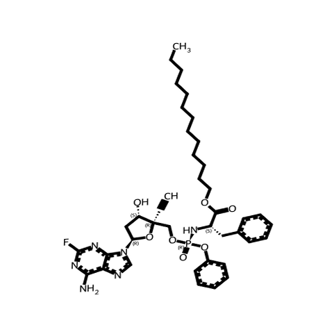 C#C[C@]1(CO[P@](=O)(N[C@@H](Cc2ccccc2)C(=O)OCCCCCCCCCCCCC)Oc2ccccc2)O[C@@H](n2cnc3c(N)nc(F)nc32)C[C@@H]1O